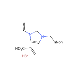 Br.C=CC(=O)O.C=CN1C=CN(CCCCCCCCCC)C1